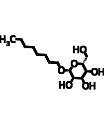 CCCCCCCCO[C@H]1O[C@H](CO)[C@@H](O)[C@@H](O)[C@H]1O